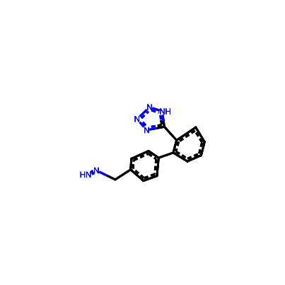 N=NCc1ccc(-c2ccccc2-c2nnn[nH]2)cc1